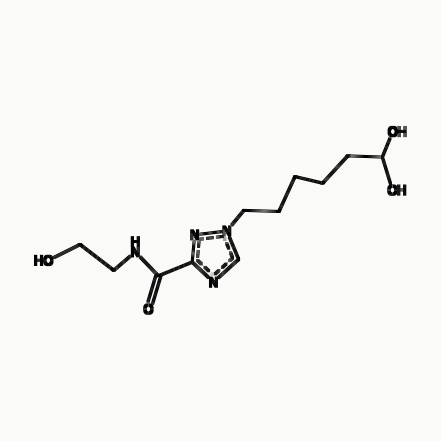 O=C(NCCO)c1ncn(CCCCCC(O)O)n1